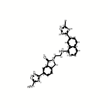 CCCc1nc(-c2ccc3c(c2)C(=O)N(CCNc2nccc4ccc(-c5noc(C)n5)cc24)C3)no1